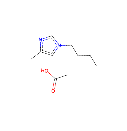 CC(=O)O.CCCCn1cnc(C)c1